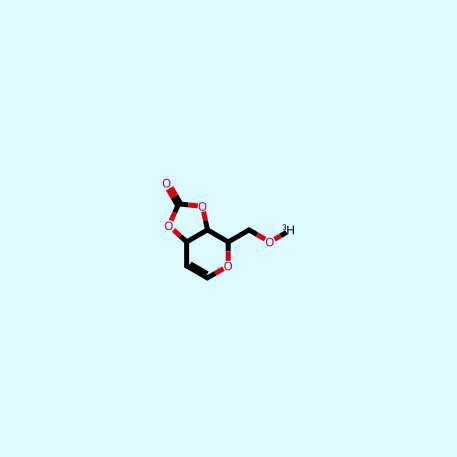 [3H]OCC1OC=CC2OC(=O)OC21